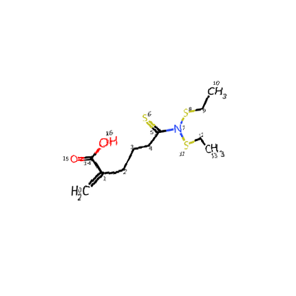 C=C(CCCC(=S)N(SCC)SCC)C(=O)O